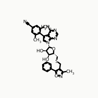 Cc1cc(C#N)cc(C)c1-c1cn([C@@H]2O[C@H](CSCc3c(C)noc3-c3ccccc3)[C@@H](O)[C@H]2O)c2ncnc(N)c12